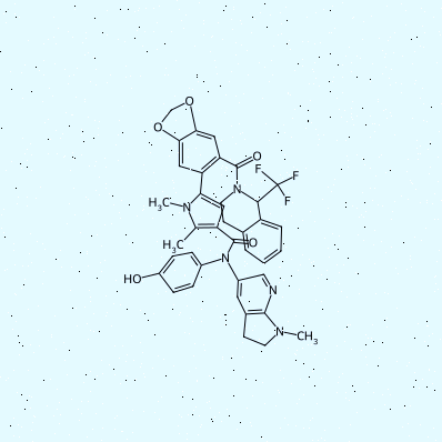 Cc1c(C(=O)N(c2ccc(O)cc2)c2cnc3c(c2)CCN3C)cc(-c2cc3c(cc2C(=O)N2CCc4ccccc4C2C(F)(F)F)OCO3)n1C